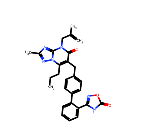 C=C(C)Cn1c(=O)c(Cc2ccc(-c3ccccc3-c3noc(=O)[nH]3)cc2)c(CCC)n2nc(C)nc12